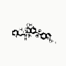 CC(C)c1ccc(S(=O)(=O)c2ccc3c(ccn3C)c2)cc1S(=O)(=O)NCCc1ccccn1